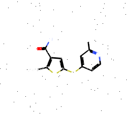 CNc1sc(Sc2ccnc(C)c2)cc1C(N)=O